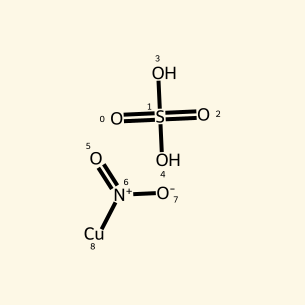 O=S(=O)(O)O.O=[N+]([O-])[Cu]